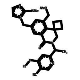 CCOc1cc(C(C)N2CC3(CCC3)c3c(COC)cc(Cn4ccnc4NC)cc3C2=O)ncc1C#N